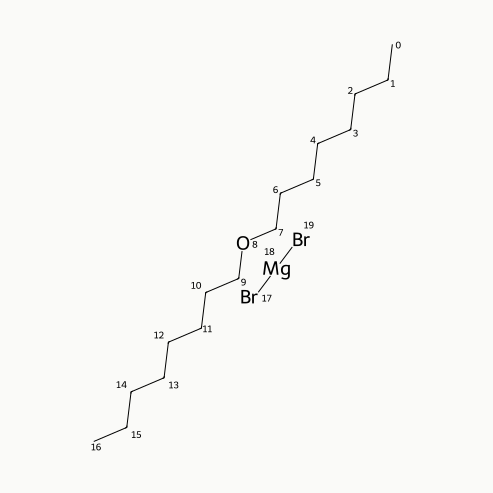 CCCCCCCCOCCCCCCCC.[Br][Mg][Br]